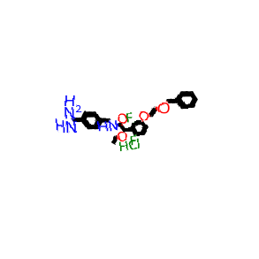 CCO[C@H](C(=O)NCc1ccc(C(=N)N)cc1)c1c(F)ccc(OCCOCc2ccccc2)c1F.Cl